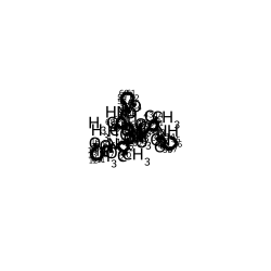 CC1(C)CC(NC(=O)ON2CCCCCC2=O)CC(C)(Cn2c(=O)n(CC3(C)CC(NC(=O)N4CCCCCC4=O)CC(C)(C)C3)c(=O)n(CC3(C)CC(NC(=O)N4CCCCCC4=O)CC(C)(C)C3)c2=O)C1